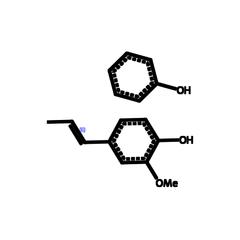 C/C=C/c1ccc(O)c(OC)c1.Oc1ccccc1